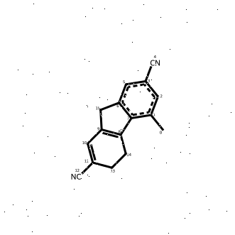 Cc1cc(C#N)cc2c1C1=C(C=C(C#N)CC1)C2